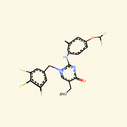 COCc1cn(Cc2cc(F)c(F)c(F)c2)c(Nc2ccc(OC(F)F)cc2C)nc1=O